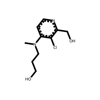 CN(CCCO)c1ccnc(CO)c1Cl